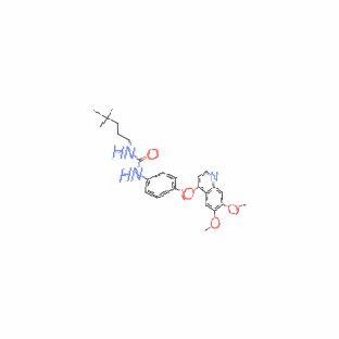 COc1cc2nccc(Oc3ccc(NC(=O)NCCCC(C)(C)C)cc3)c2cc1OC